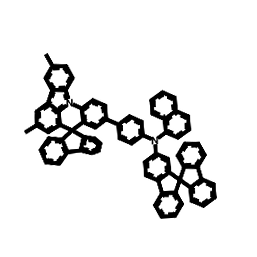 Cc1ccc2c(c1)c1cc(C)cc3c1n2-c1ccc(-c2ccc(N(c4ccc5c(c4)C4(c6ccccc6-c6ccccc64)c4ccccc4-5)c4cccc5ccccc45)cc2)cc1C31c2ccccc2-c2ccccc21